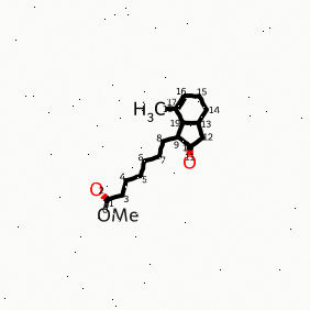 COC(=O)CCCCCCC1C(=O)CC2CCC=C(C)C21